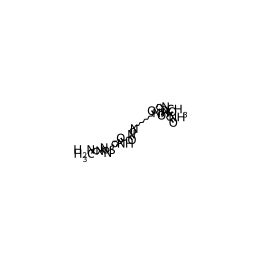 Cc1nc2cccc(NC(=O)CCCCCCCCN3CCN(C(=O)CCC(=O)Nc4cccc(Sc5cnc(N6CCC(C)(N)CC6)cn5)c4)CC3)c2c(=O)n1C1CCC(=O)NC1=O